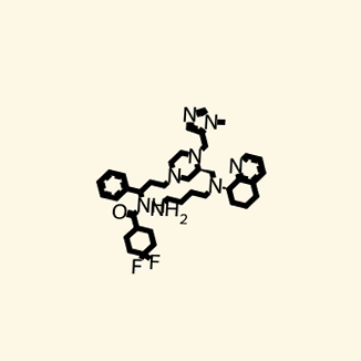 Cn1cncc1CN1CCN(CCC(NC(=O)C2CCC(F)(F)CC2)c2ccccc2)C[C@@H]1CN(CCCCN)[C@H]1CCCc2cccnc21